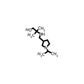 CC(C)N1CCC(CNC(C)(C)CO)C1